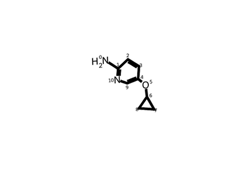 Nc1ccc(OC2CC2)cn1